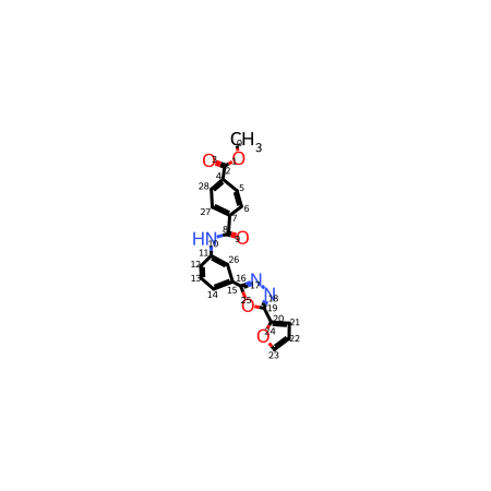 COC(=O)c1ccc(C(=O)Nc2cccc(-c3nnc(-c4ccco4)o3)c2)cc1